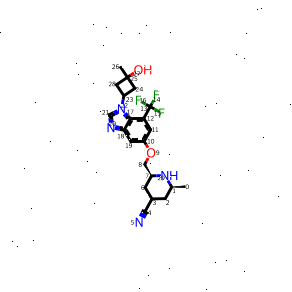 C[C@H]1CC(C#N)C[C@@H](COc2cc(C(F)(F)F)c3c(c2)ncn3C2CC(C)(O)C2)N1